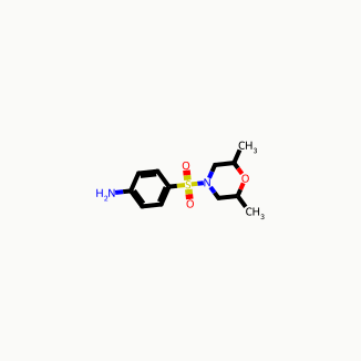 CC1CN(S(=O)(=O)c2ccc(N)cc2)CC(C)O1